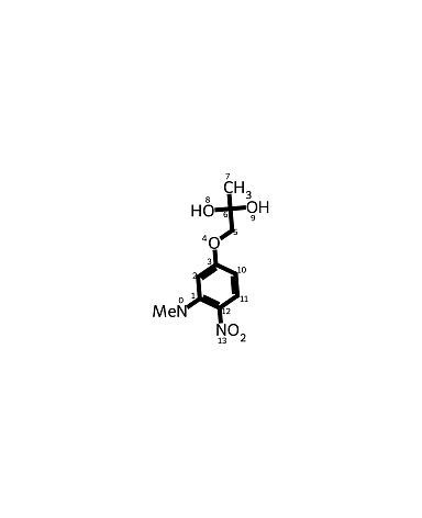 CNc1cc(OCC(C)(O)O)ccc1[N+](=O)[O-]